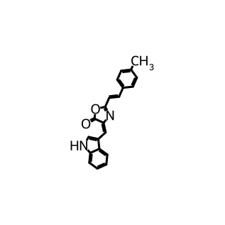 Cc1ccc(C=CC2=NC(=Cc3c[nH]c4ccccc34)C(=O)O2)cc1